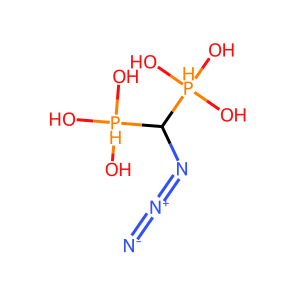 [N-]=[N+]=NC([PH](O)(O)O)[PH](O)(O)O